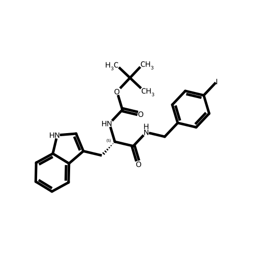 CC(C)(C)OC(=O)N[C@@H](Cc1c[nH]c2ccccc12)C(=O)NCc1ccc(I)cc1